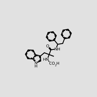 CC(Cc1c[nH]c2ccccc12)(NC(=O)O)C(=O)NC(Cc1ccccc1)c1ccccc1